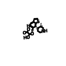 C[C@@H]1CNCC[C@@H]1c1c(F)ccc2ccsc12.O=C(O)C(=O)O